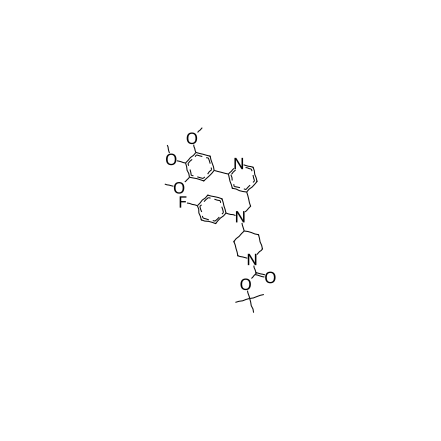 COc1cc(-c2cc(CN(c3ccc(F)cc3)C3CCN(C(=O)OC(C)(C)C)CC3)ccn2)cc(OC)c1OC